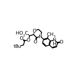 Cc1c(N2CCO[C@H]([C@@H](OC(=O)CC(C)(C)C)C(=O)O)C2=O)ccc2ccc(=O)[nH]c12